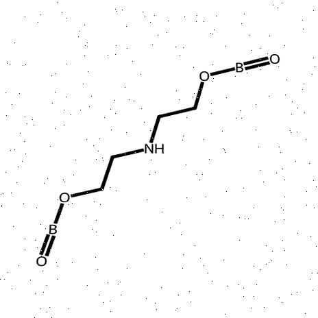 O=BOCCNCCOB=O